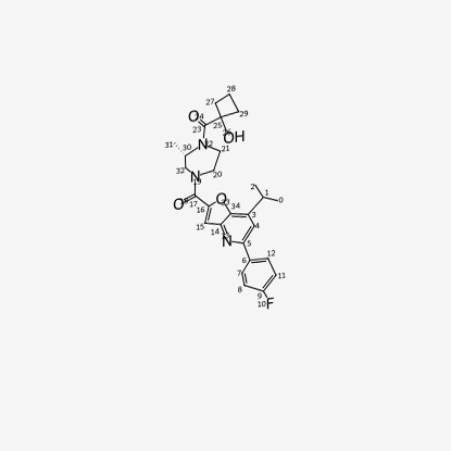 CC(C)c1cc(-c2ccc(F)cc2)nc2cc(C(=O)N3CCN(C(=O)C4(O)CCC4)[C@@H](C)C3)oc12